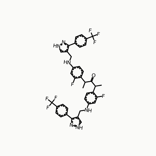 CC(C(=O)C(C)c1ccc(NCc2c[nH]nc2-c2ccc(C(F)(F)F)cc2)cc1F)c1ccc(NCc2c[nH]nc2-c2ccc(C(F)(F)F)cc2)cc1F